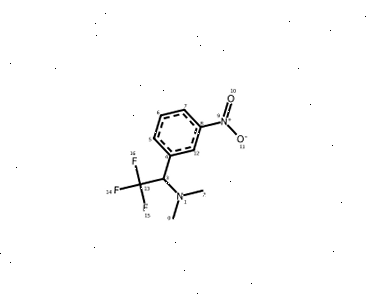 CN(C)C(c1cccc([N+](=O)[O-])c1)C(F)(F)F